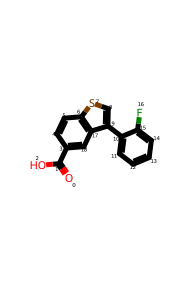 O=C(O)c1ccc2scc(-c3ccccc3F)c2c1